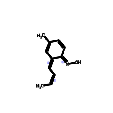 C\C=C/C=C1/C=C(C)C=C/C1=N\O